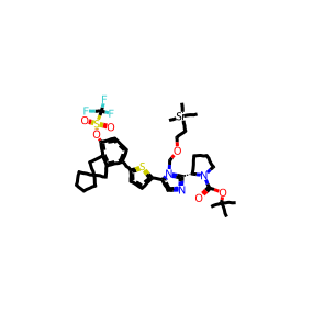 CC(C)(C)OC(=O)N1CCC[C@H]1c1ncc(-c2ccc(-c3ccc(OS(=O)(=O)C(F)(F)F)c4c3CC3(CCCC3)C4)s2)n1COCC[Si](C)(C)C